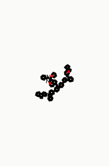 CC1(C)c2ccccc2-c2ccc(-n3c4ccccc4c4cc(-c5ccc6c7ccc(-c8ccc9c(c8)c8ccccc8n9-c8ccc9c(c8)C(C)(C)c8ccccc8-9)cc7n(-c7ccc8c9c(cccc79)-c7nc(-c9ccccc9)nc(-c9ccccc9)c7-8)c6c5)ccc43)cc21